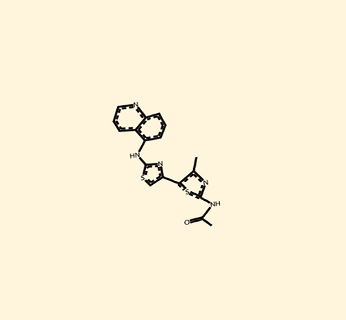 CC(=O)Nc1nc(C)c(-c2csc(Nc3cccc4ncccc34)n2)s1